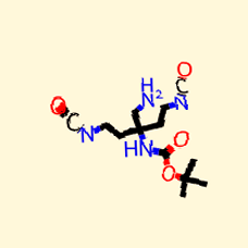 CC(C)(C)OC(=O)NC(CN)(CCN=C=O)CCN=C=O